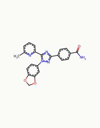 Cc1cccc(-c2nc(-c3ccc(C(N)=O)cc3)nn2-c2ccc3c(c2)OCO3)n1